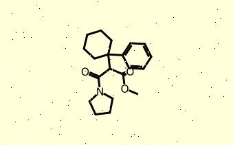 COC(=O)C(C(=O)N1CCCC1)C1(c2[c]cccc2)CCCCC1